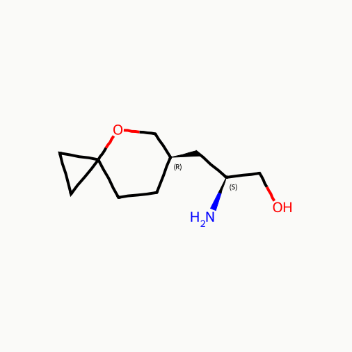 N[C@H](CO)C[C@H]1CCC2(CC2)OC1